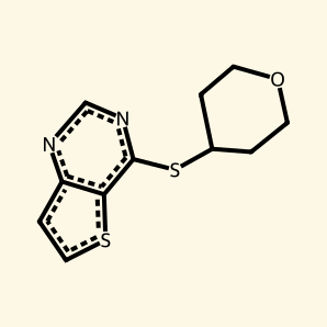 c1nc(SC2CCOCC2)c2sccc2n1